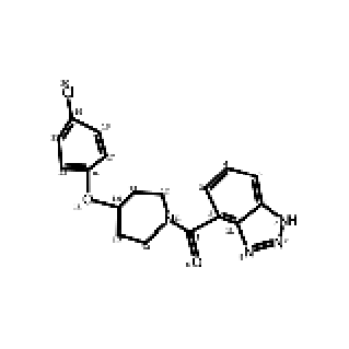 O=C(c1cccc2[nH]nnc12)N1CCC(Oc2ccc(Cl)cc2)CC1